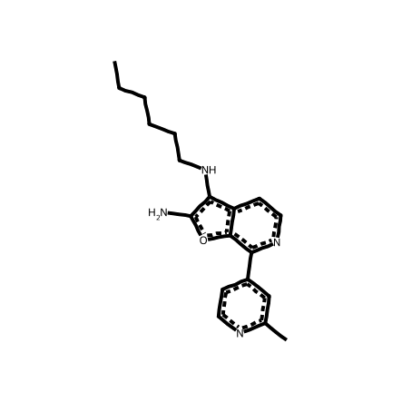 CCCCCCNc1c(N)oc2c(-c3ccnc(C)c3)nccc12